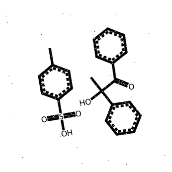 CC(O)(C(=O)c1ccccc1)c1ccccc1.Cc1ccc(S(=O)(=O)O)cc1